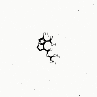 Cc1cn2c(c1C(=O)O)C(C(=O)OC(C)C)CC2